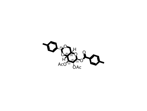 CC(=O)O[C@@H]1[C@@H](OC(C)=O)[C@H](OC(=O)c2ccc(C)cc2)O[C@@H]2CO[C@@H](c3ccc(C)cc3)O[C@@H]12